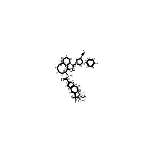 N#C[C@@H]1CN(C(=O)[C@@H]2CCC[C@@H]3CCCC[C@H](NC(=O)c4cc5cc(C(F)(F)P(=O)(O)O)ccc5s4)C(=O)N32)C[C@H]1c1ccccc1